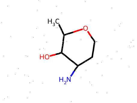 CC1O[CH]CC(N)C1O